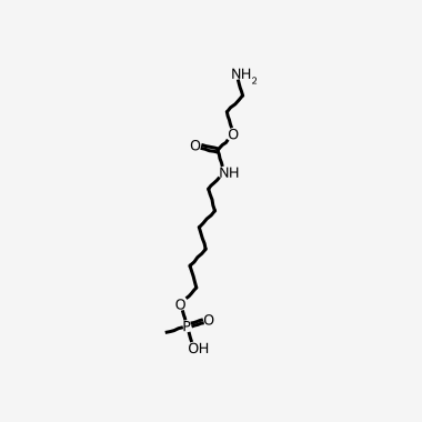 CP(=O)(O)OCCCCCCNC(=O)OCCN